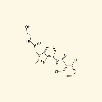 Cc1nc2c(NC(=O)c3c(Cl)cccc3Cl)cccc2n1CC(=O)NCCO